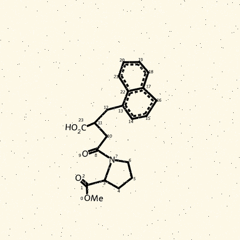 COC(=O)C1CCCN1C(=O)CC(Cc1cccc2ccccc12)C(=O)O